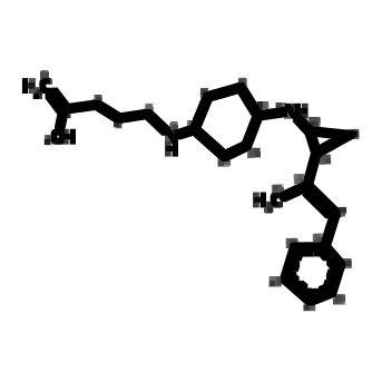 C=C(O)CCCNC1CCC(NC2CC2/C(C)=C/c2ccccc2)CC1